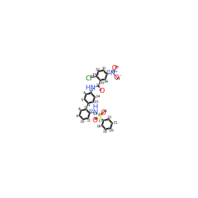 O=C(Nc1ccc(-c2ccccc2NS(=O)(=O)c2ccccc2)cc1)c1cc([N+](=O)[O-])ccc1Cl